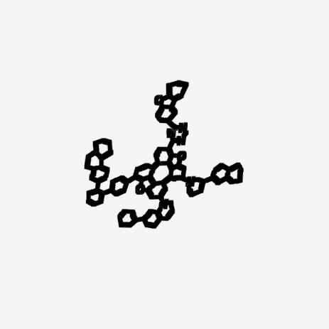 C1=CN(c2cc3oc4c(-c5ncnc(-c6ccc7oc8ccccc8c7c6)n5)ccc5c6ccc(-c7ccc(-c8ccccc8-c8ccc9c(ccc%10ccccc%109)c8)cc7)c7oc8cc(N9CC=Cc%10ccc(-c%11ccccc%11)cc%109)cc(c(c2)c3c45)c8c76)CC(c2ccc3ccccc3c2)=C1